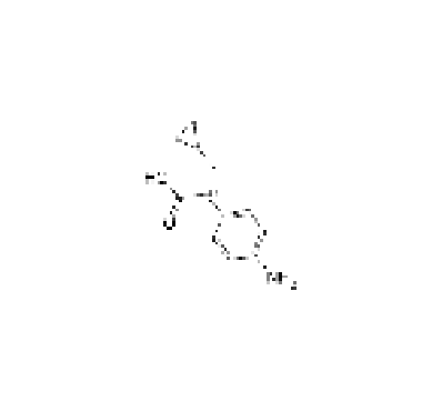 Nc1ccc([C@@H](CC2CC2)C(=O)O)cc1